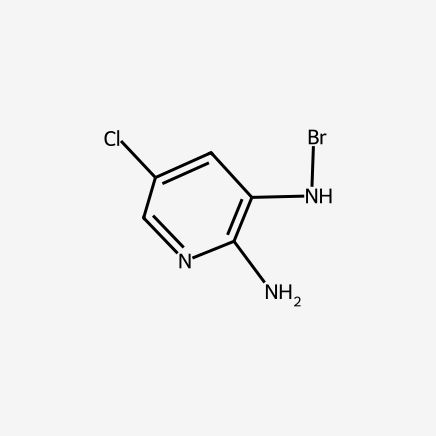 Nc1ncc(Cl)cc1NBr